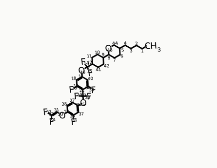 CCCCCC1CCC(C2CCC(C(F)(F)Oc3cc(F)c(C(F)(F)Oc4ccc(OC=C(F)F)c(F)c4)c(F)c3)CC2)OC1